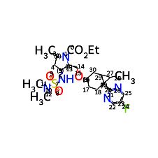 CCOC(=O)N1[C@H](C)C[C@H](NS(=O)(=O)N(C)C)[C@@H]1CO[C@H]1CC[C@@]2(c3ncc(F)cn3)C(C)C2C1